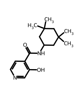 CC1(C)CC(NC(=O)c2ccncc2O)CC(C)(C)C1